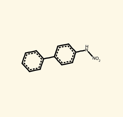 O=[N+]([O-])Nc1ccc(-c2ccccc2)cc1